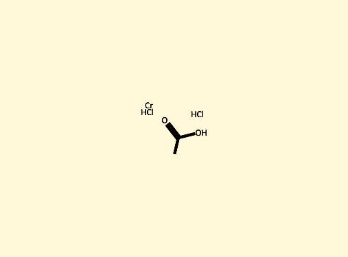 CC(=O)O.Cl.Cl.[Cr]